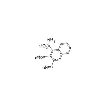 CCCCCCCCCc1cc2ccccc2c(S(=O)(=O)O)c1CCCCCCCCC.N